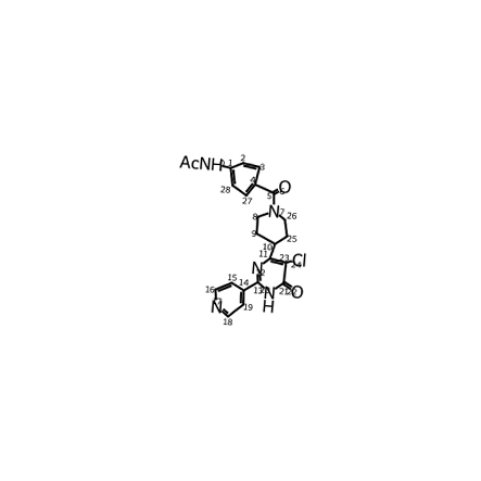 CC(=O)Nc1ccc(C(=O)N2CCC(c3nc(-c4ccncc4)[nH]c(=O)c3Cl)CC2)cc1